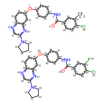 O=C(Nc1ccc(Oc2ccc3ncc(N4CCCC4)nc3c2)cc1)c1ccc(Cl)c(C(F)(F)F)c1.O=C(Nc1ccc(Oc2ccc3ncc(N4CCCC4)nc3c2)cc1)c1ccc(Cl)c(F)c1